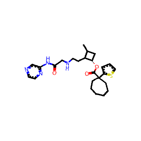 CC1C[C@H](OC(=O)C2(c3cccs3)CCCCCC2)C1CCNCC(=O)Nc1cnccn1